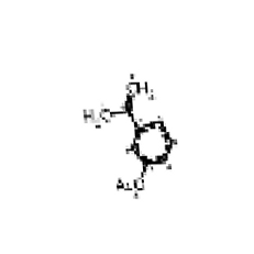 C=C(C)c1cccc(OC(C)=O)c1